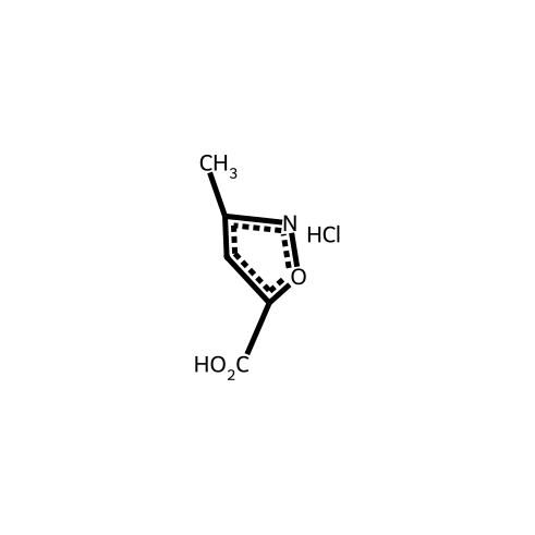 Cc1cc(C(=O)O)on1.Cl